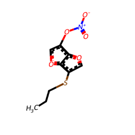 CCCSc1coc2c(O[N+](=O)[O-])coc12